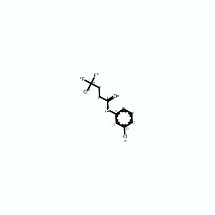 O=C(CCC(F)(F)Cl)Sc1cccc(Cl)c1